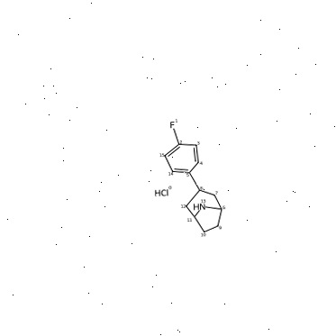 Cl.Fc1ccc(C2CC3CCC(C2)N3)cc1